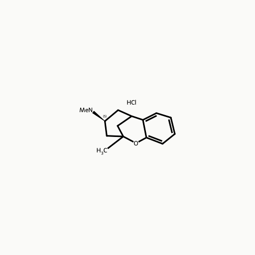 CN[C@H]1CC2CC(C)(C1)Oc1ccccc12.Cl